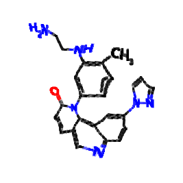 Cc1ccc(-n2c(=O)ccc3cnc4ccc(-n5cccn5)cc4c32)cc1NCCN